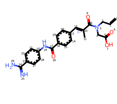 C=CCN(CC(=O)O)C(=O)/C(C)=C/c1ccc(C(=O)Nc2ccc(C(=N)N)cc2)cc1